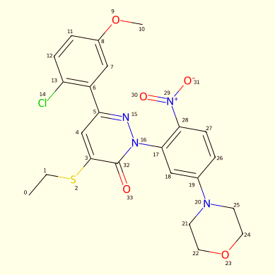 CCSc1cc(-c2cc(OC)ccc2Cl)nn(-c2cc(N3CCOCC3)ccc2[N+](=O)[O-])c1=O